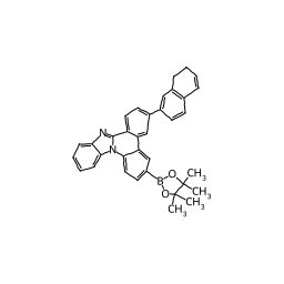 CC1(C)OB(c2ccc3c(c2)c2cc(-c4ccc5c(c4)CCC=C5)ccc2c2nc4ccccc4n32)OC1(C)C